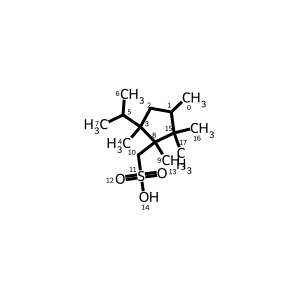 CC1CC(C)(C(C)C)C(C)(CS(=O)(=O)O)C1(C)C